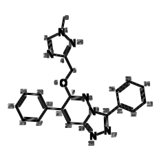 Cn1cnc(COc2nn3c(-c4ccccc4)nnc3cc2-c2ccccc2)n1